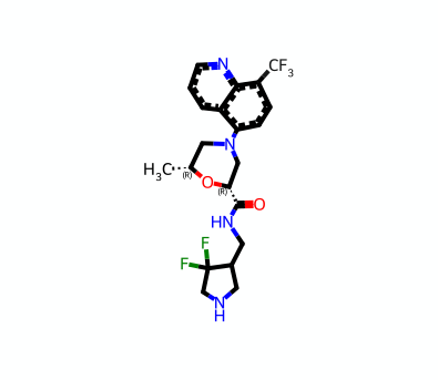 C[C@@H]1CN(c2ccc(C(F)(F)F)c3ncccc23)C[C@H](C(=O)NCC2CNCC2(F)F)O1